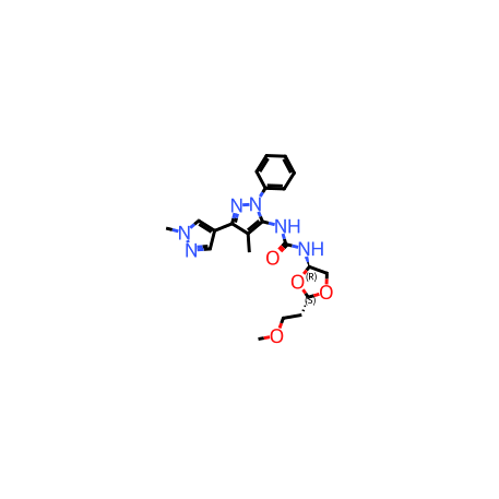 COCC[C@H]1OC[C@H](NC(=O)Nc2c(C)c(-c3cnn(C)c3)nn2-c2ccccc2)O1